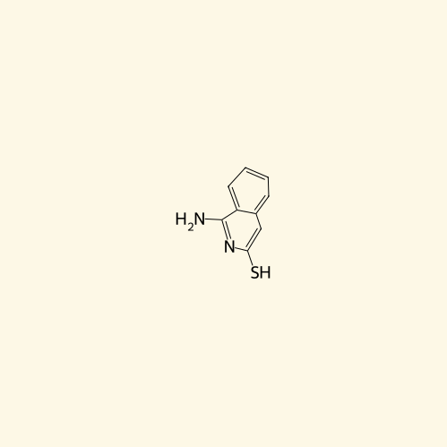 Nc1nc(S)cc2ccccc12